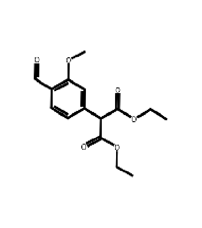 CCOC(=O)C(C(=O)OCC)c1ccc(C=O)c(OC)c1